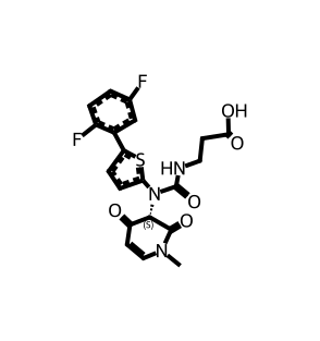 CN1C=CC(=O)[C@H](N(C(=O)NCCC(=O)O)c2ccc(-c3cc(F)ccc3F)s2)C1=O